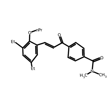 CCCOc1c(C=CC(=O)c2ccc(C(=O)N(C)C)cc2)cc(CC)cc1CC